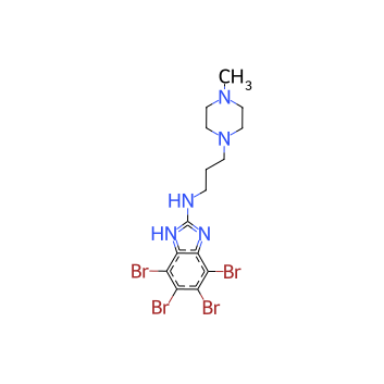 CN1CCN(CCCNc2nc3c(Br)c(Br)c(Br)c(Br)c3[nH]2)CC1